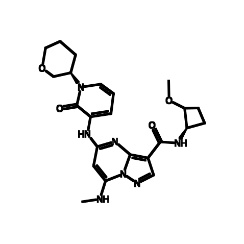 CNc1cc(Nc2cccn([C@@H]3CCCOC3)c2=O)nc2c(C(=O)N[C@@H]3CCC3OC)cnn12